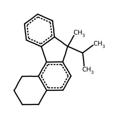 CC(C)C1(C)c2ccccc2-c2c1ccc1c2CCCC1